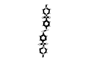 CN1CCN(S(=O)(=O)c2ccc(SSc3ccc(S(=O)(=O)N4CCN(C)CC4)cc3)cc2)CC1